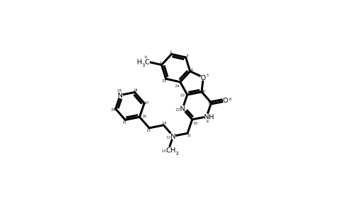 Cc1ccc2oc3c(=O)[nH]c(CN(C)CCc4ccncc4)nc3c2c1